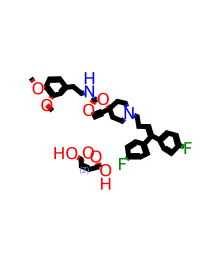 C#CC1(OC(=O)NCCc2ccc(OC)c(OC)c2)CCN(CCC=C(c2ccc(F)cc2)c2ccc(F)cc2)CC1.O=C(O)/C=C\C(=O)O